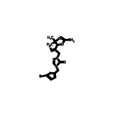 CC(C)(C)C(OC(N)=O)C(=CF)Cn1ncn(Cc2ccc(Br)s2)c1=O